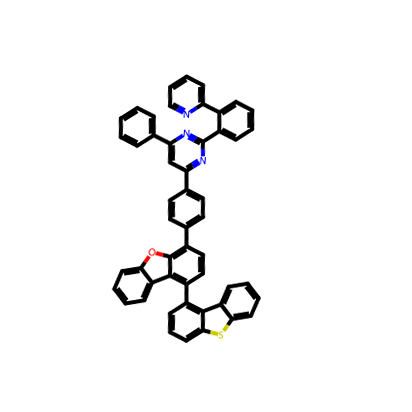 c1ccc(-c2cc(-c3ccc(-c4ccc(-c5cccc6sc7ccccc7c56)c5c4oc4ccccc45)cc3)nc(-c3ccccc3-c3ccccn3)n2)cc1